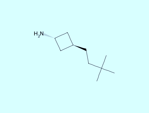 CC(C)(C)CC[C@H]1C[C@H](N)C1